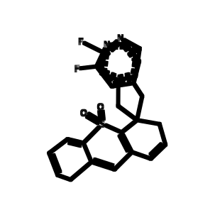 O=S1(=O)C2=CC=CCC2=CC2=C1C(Cc1ccnc(F)c1)(Cc1ccnc(F)c1)CC=C2